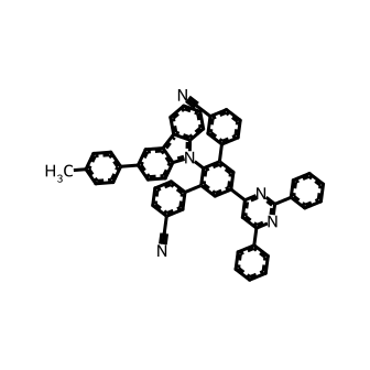 Cc1ccc(-c2ccc3c(c2)c2ccccc2n3-c2c(-c3cccc(C#N)c3)cc(-c3cc(-c4ccccc4)nc(-c4ccccc4)n3)cc2-c2cccc(C#N)c2)cc1